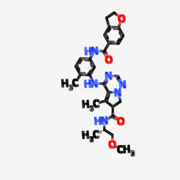 COC[C@H](C)NC(=O)C1CN2N=CN=C(Nc3cc(NC(=O)c4ccc5c(c4)CCO5)ccc3C)C2=C1C